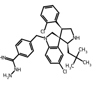 CC(C)(C)C[C@@H]1NC[C@H](c2ccccc2Cl)[C@]12CN(Cc1ccc(C(=N)NN)cc1)c1ccc(Cl)cc12